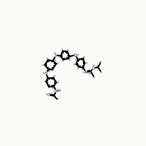 CC(=O)Nc1ccc(Oc2ccc(Sc3ccc(Oc4ccc(/N=C(/C)OC(C)C)cc4)cc3)cc2)cc1